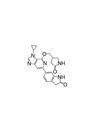 C[C@@H](Oc1nc(-c2ccc3c(c2)NC(=O)C3)cc2ncn(C3CC3)c12)C1CNC(=O)C1